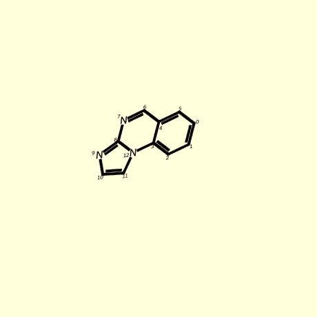 c1ccc2c(c1)cnc1nccn12